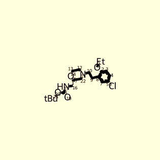 CCOc1ccc(Cl)cc1CCN1CCO[C@@H](CNC(=O)OC(C)(C)C)C1